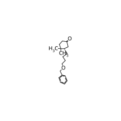 CC1(C)CCC(=O)C[C@H]1CCCCOCc1ccccc1